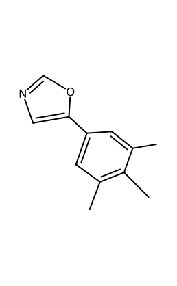 Cc1cc(-c2cnco2)cc(C)c1C